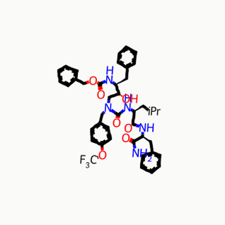 CC(C)C[C@H](NC(=O)N(Cc1ccc(OC(F)(F)F)cc1)C[C@@H](O)[C@H](Cc1ccccc1)NC(=O)OCc1ccccc1)C(=O)N[C@@H](Cc1ccccc1)C(N)=O